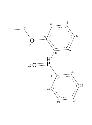 CCOc1ccccc1[PH](=O)c1ccccc1